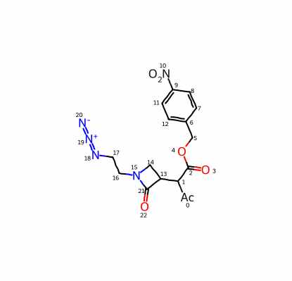 CC(=O)C(C(=O)OCc1ccc([N+](=O)[O-])cc1)C1CN(CCN=[N+]=[N-])C1=O